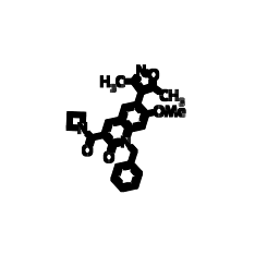 COc1cc2c(cc1-c1c(C)noc1C)cc(C(=O)N1CCC1)c(=O)n2Cc1ccccc1